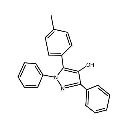 Cc1ccc(-c2c(O)c(-c3ccccc3)nn2-c2ccccc2)cc1